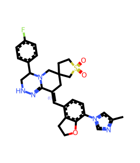 Cc1cn(-c2ccc(/C=C3\CC4(CCS(=O)(=O)C4)CN4C3=NNCC4c3ccc(F)cc3)c3c2OCC3)cn1